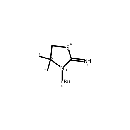 CCCCN1C(=N)SCC1(C)C